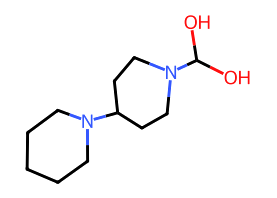 OC(O)N1CCC(N2CCCCC2)CC1